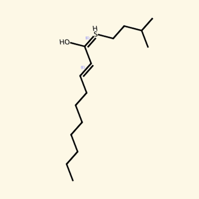 CCCCCCC/C=C/C(O)=[SH]\CCC(C)C